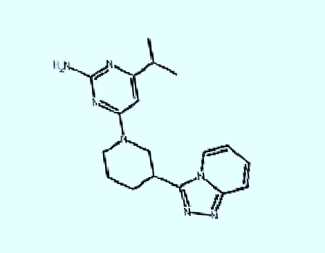 CC(C)c1cc(N2CCCC(c3nnc4ccccn34)C2)nc(N)n1